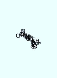 C=Cc1ccc(N(C)S(C)(=O)=O)c(C(=O)Nc2ccc(S(=O)(=O)N3CCN(c4cc(Cl)cc(Cl)c4)CC3)cc2)c1